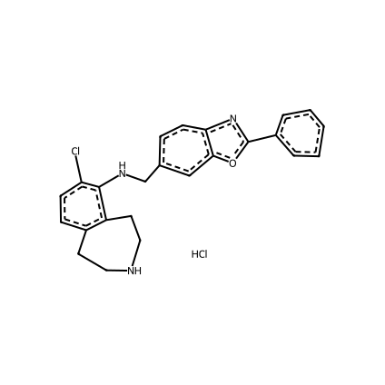 Cl.Clc1ccc2c(c1NCc1ccc3nc(-c4ccccc4)oc3c1)CCNCC2